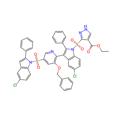 CCOC(=O)c1c[nH]nc1S(=O)(=O)n1c(-c2ccccc2)c(-c2ncc(S(=O)(=O)n3c(-c4ccccc4)cc4cc(Cl)ccc43)cc2OCc2ccccc2)c2cc(Cl)ccc21